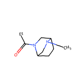 CCC(=O)N1CC2CCC1CN2C